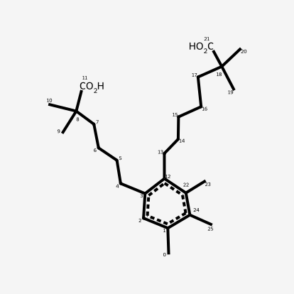 Cc1cc(CCCCC(C)(C)C(=O)O)c(CCCCCC(C)(C)C(=O)O)c(C)c1C